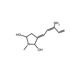 C=C/C(N)=C\C=C1/CC(O)N(C)C1O